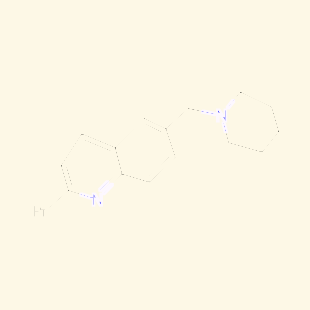 CC(C)c1ccc2cc(CN3CCCCC3)ccc2n1